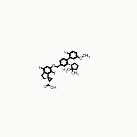 COc1ccc(F)c(-c2ccc(COc3cc(F)c4c(c3F)[C@]3(CC4)C[C@@H]3C(=O)O)cc2[C@H]2CCCC2(C)C)c1